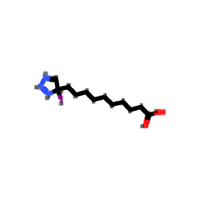 O=C(O)CCCCCCCCCC1(I)C=NN=N1